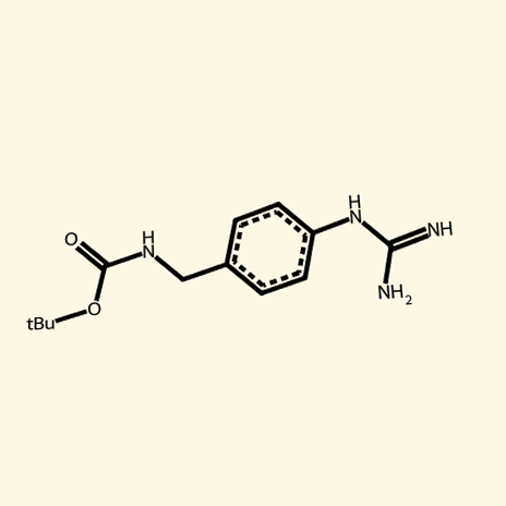 CC(C)(C)OC(=O)NCc1ccc(NC(=N)N)cc1